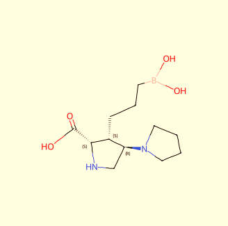 O=C(O)[C@H]1NC[C@H](N2CCCC2)[C@H]1CCCB(O)O